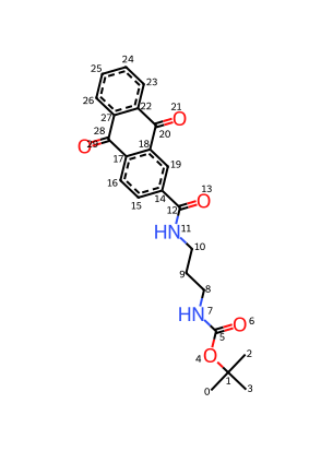 CC(C)(C)OC(=O)NCCCNC(=O)c1ccc2c(c1)C(=O)c1ccccc1C2=O